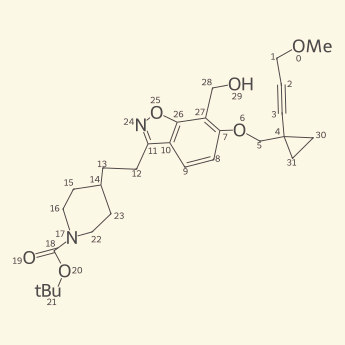 COCC#CC1(COc2ccc3c(CCC4CCN(C(=O)OC(C)(C)C)CC4)noc3c2CO)CC1